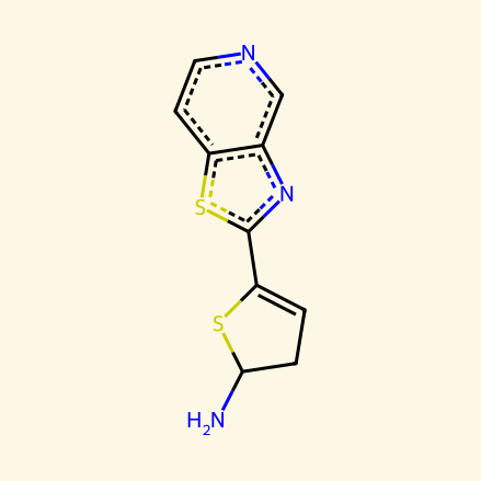 NC1CC=C(c2nc3cnccc3s2)S1